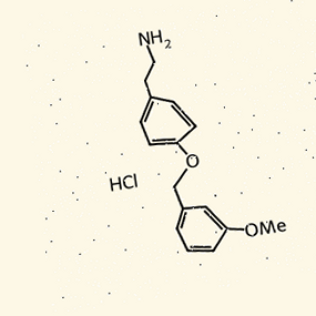 COc1cccc(COc2ccc(CCN)cc2)c1.Cl